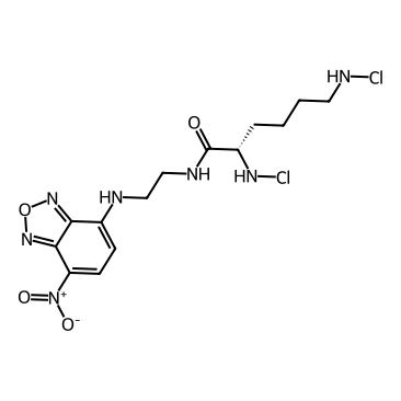 O=C(NCCNc1ccc([N+](=O)[O-])c2nonc12)[C@H](CCCCNCl)NCl